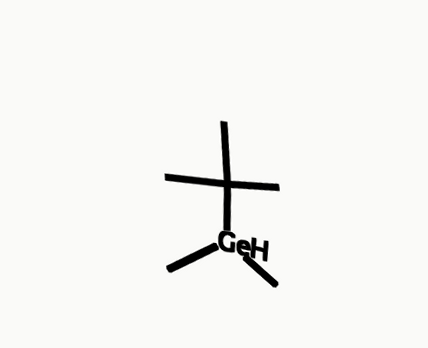 [CH3][GeH]([CH3])[C](C)(C)C